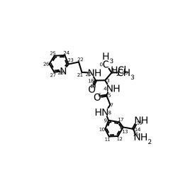 CC(C)C(NC(=O)CNc1cccc(C(=N)N)c1)C(=O)NCCc1ccccn1.Cl